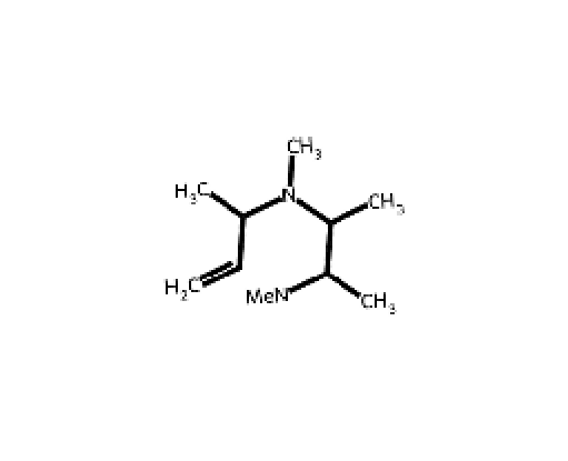 C=CC(C)N(C)C(C)C(C)NC